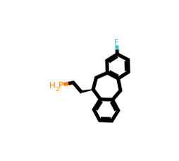 Fc1ccc2c(c1)C[C@H](CCP)c1ccccc1C2